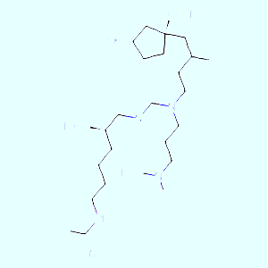 CCCC[C@H]1CC[C@](CC(C)CCN(CCCN(C)C)CNC[C@@H](CCCCP[C@H](CCC)C(=O)O)C(=O)O)(C(=O)O)C1